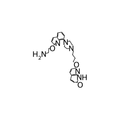 NCCOc1ccc2cccc(N3CCN(CCCCOc4ccc5ccc(=O)[nH]c5n4)CC3)c2n1